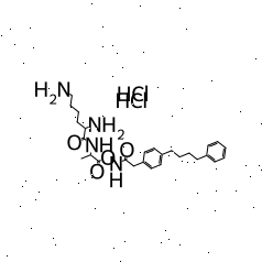 CC(NC(=O)C(N)CCCCN)C(=O)ONC(=O)Cc1ccc(CCCCc2ccccc2)cc1.Cl.Cl